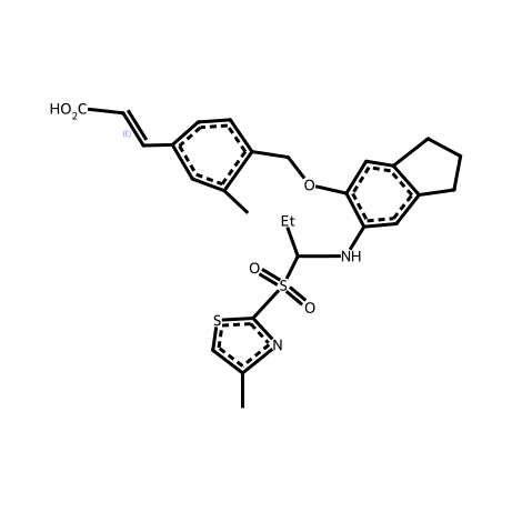 CCC(Nc1cc2c(cc1OCc1ccc(/C=C/C(=O)O)cc1C)CCC2)S(=O)(=O)c1nc(C)cs1